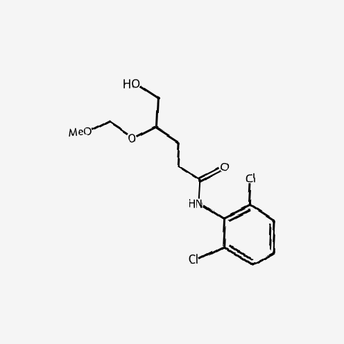 COCOC(CO)CCC(=O)Nc1c(Cl)cccc1Cl